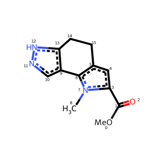 COC(=O)c1cc2c(n1C)-c1cn[nH]c1CC2